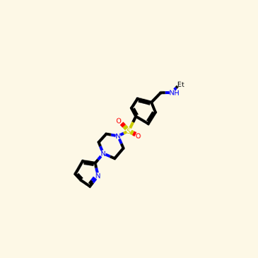 CCNCc1ccc(S(=O)(=O)N2CCN(c3ccccn3)CC2)cc1